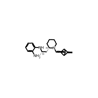 C=C1C2CC1C2=CN1CCCC[C@H]1C[C@H](C)Nc1ccccc1N